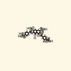 O=S(=O)(O)c1cc2cc(S(=O)(=O)O)c(N=Nc3ccc([As](=O)(O)O)cc3)c(O)c2c(O)c1N=Nc1ccc([As](=O)(O)O)cc1